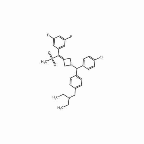 CCN(CC)Cc1ccc(C(c2ccc(Cl)cc2)N2CC(=C(c3cc(F)cc(F)c3)S(C)(=O)=O)C2)cc1